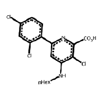 CCCCCCNc1cc(-c2ccc(Cl)cc2Cl)nc(C(=O)O)c1Cl